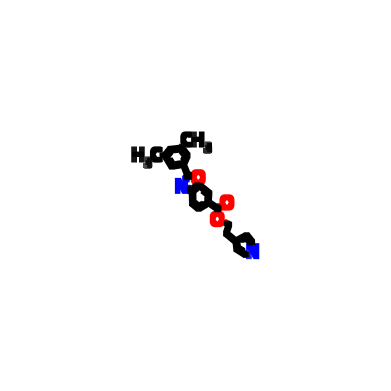 Cc1cc(C)cc(-c2nc3ccc(C(=O)OCCc4ccncc4)cc3o2)c1